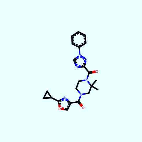 CC1(C)CN(C(=O)c2coc(C3CC3)n2)CCN1C(=O)c1ncn(-c2ccccc2)n1